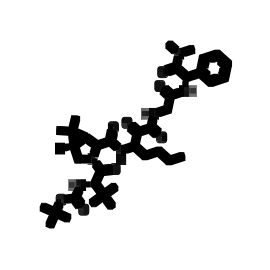 CCCCC(NC(=O)C1C2[C@H](CN1C(=O)[C@@H](NC(=O)OC(C)(C)C)C(C)(C)C)C2(C)C)C(=O)C(=O)NCC(=O)N[C@H](C(=O)N(C)C)c1ccccc1